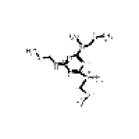 COCNc1nc(N(N)COC)nc(N(N)COC)n1